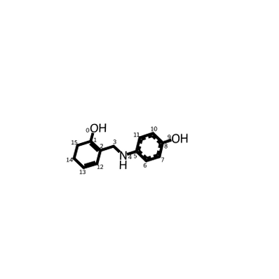 OC1=C(CNc2ccc(O)cc2)C=CCC1